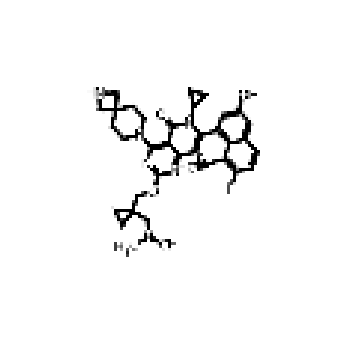 C#Cc1c(F)ccc2cc(O)cc(-c3c(F)c4nc(OCC5(CN(C)C)CC5)nc(N5CCC6(CC5)CNC6)c4c(=O)n3C3CC3)c12